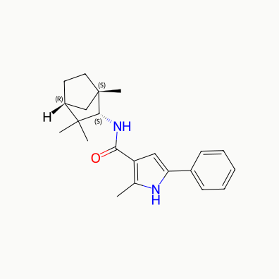 Cc1[nH]c(-c2ccccc2)cc1C(=O)N[C@@H]1C(C)(C)[C@@H]2CC[C@@]1(C)C2